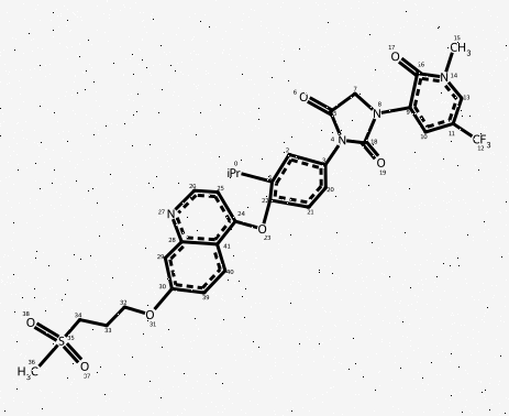 CC(C)c1cc(N2C(=O)CN(c3cc(C(F)(F)F)cn(C)c3=O)C2=O)ccc1Oc1ccnc2cc(OCCCS(C)(=O)=O)ccc12